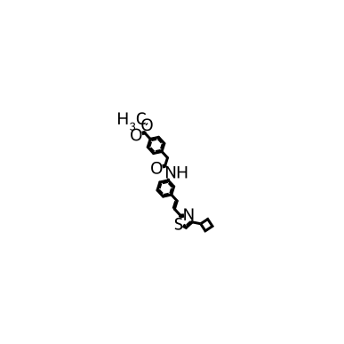 COC(=O)c1ccc(CC(=O)Nc2cccc(C=Cc3nc(C4CCC4)cs3)c2)cc1